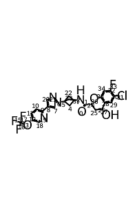 O=C(NC12CC(n3cc(-c4ccc(OC(F)(F)F)cn4)cn3)(C1)C2)[C@@H]1C[C@@H](O)c2cc(Cl)c(F)cc2O1